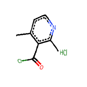 Cc1ccnc(C)c1C(=O)Cl.Cl